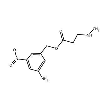 CNCCC(=O)OCc1cc(N)cc([N+](=O)[O-])c1